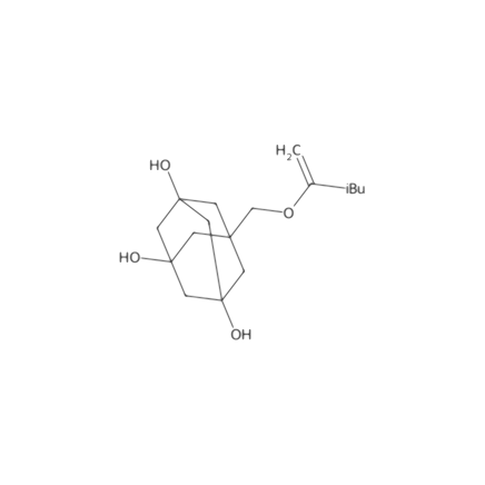 C=C(OCC12CC3(O)CC(O)(CC(O)(C3)C1)C2)C(C)CC